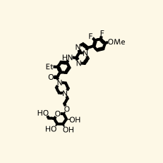 CCc1cc(Nc2nccn3c(-c4ccc(OC)c(F)c4F)cnc23)ccc1C(=O)N1CCN(CCO[C@@H]2OC(CO)[C@H](O)[C@H](O)[C@H]2O)CC1